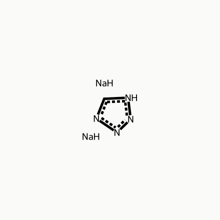 [NaH].[NaH].c1nnn[nH]1